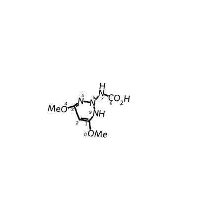 COC1=CC(OC)=NN(NC(=O)O)N1